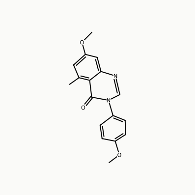 COc1ccc(-n2cnc3cc(OC)cc(C)c3c2=O)cc1